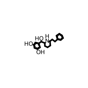 Oc1cc(O)cc(C(O)C2CCCC(CCc3ccccc3)N2)c1